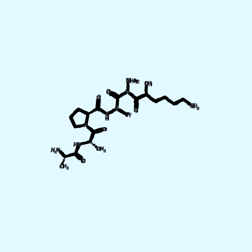 CC(=O)NN(C(=O)C(O)CCCCN)C(=O)N(NC(=O)[C@@H]1CCCN1C(=O)[C@H](C)NC(=O)[C@H](C)N)C(C)C